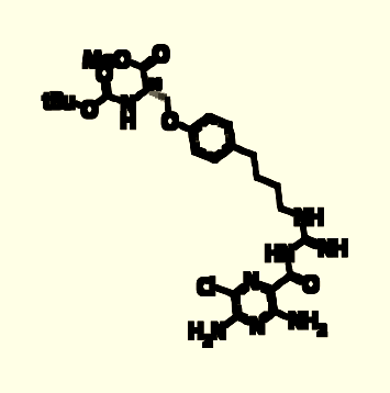 COC(=O)[C@H](COc1ccc(CCCCNC(=N)NC(=O)c2nc(Cl)c(N)nc2N)cc1)NC(=O)OC(C)(C)C